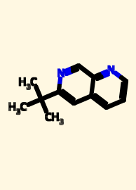 CC(C)(C)c1cc2cccnc2cn1